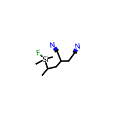 CC(CC(C#N)CC#N)[Si](C)(C)F